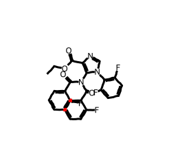 CCOC(=O)c1ncn(-c2c(F)cccc2F)c1N(C(=O)c1ccccc1F)C(=O)c1ccccc1F